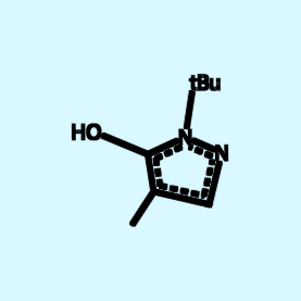 Cc1cnn(C(C)(C)C)c1O